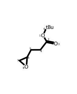 CC(C)(C)OC(=O)CCC1CO1